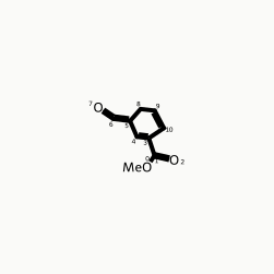 COC(=O)C1=CC(=C=O)CC=C1